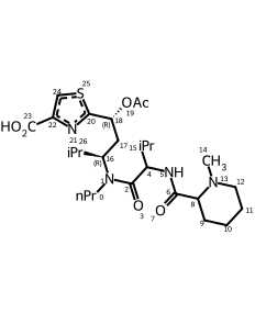 CCCN(C(=O)C(NC(=O)C1CCCCN1C)C(C)C)[C@H](C[C@@H](OC(C)=O)c1nc(C(=O)O)cs1)C(C)C